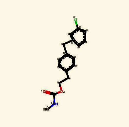 CCCCNC(=O)OCCc1ccc(Cc2cccc(Cl)c2)cc1